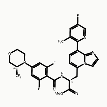 COC(=O)[C@H](Cc1ccc(-c2ncc(F)cc2C(F)(F)F)c2nccn12)NC(=O)c1c(F)cc(N2CCOC[C@@H]2C(F)(F)F)cc1F